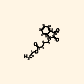 CCOC(=O)CCCN1C(=O)C(=O)c2ccccc21